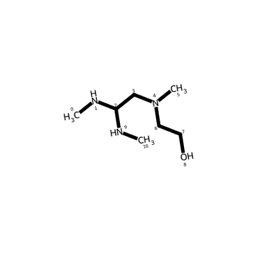 CNC(CN(C)CCO)NC